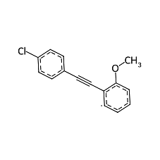 COc1ccc[c]c1C#Cc1ccc(Cl)cc1